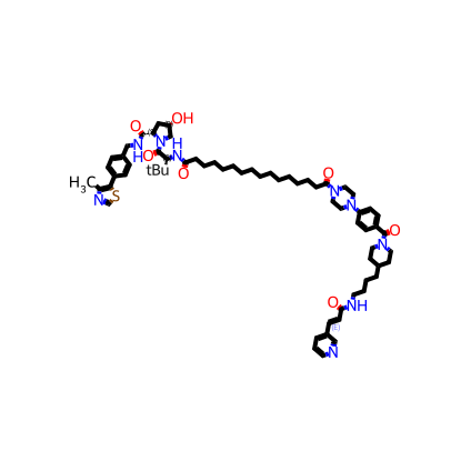 Cc1ncsc1-c1ccc(CNC(=O)[C@@H]2C[C@@H](O)CN2C(=O)[C@@H](NC(=O)CCCCCCCCCCCCCCC(=O)N2CCN(c3ccc(C(=O)N4CCC(CCCCNC(=O)/C=C/c5cccnc5)CC4)cc3)CC2)C(C)(C)C)cc1